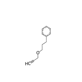 C#CCOCCCc1ccccc1